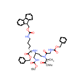 COC(=O)[C@H](C)N(CCC(CNC(=O)OC(C)(C)C)N[C@@H](CCCCNC(=O)OCC1c2ccccc2-c2ccccc21)C(=O)OCc1ccccc1)C(=O)CNC(=O)OCc1ccccc1